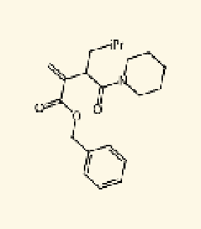 C=C(C(=O)OCc1ccccc1)C(CC(C)C)C(=O)N1CCCCC1